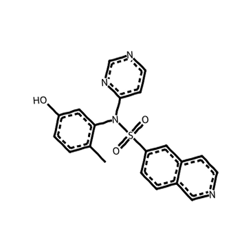 Cc1ccc(O)cc1N(c1ccncn1)S(=O)(=O)c1ccc2cnccc2c1